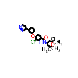 CC1(C)CC(NC(=O)c2ccc(Oc3cccc(-c4ccnnc4)c3)c(Cl)c2)CC(C)(C)O1